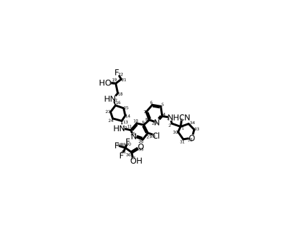 N#CC1(CNc2cccc(-c3cc(N[C@H]4CC[C@H](NCC(O)CF)CC4)ncc3Cl)n2)CCOCC1.O=C(O)C(F)(F)F